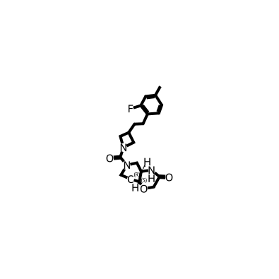 Cc1ccc(CCC2CN(C(=O)N3CC[C@@H]4OCC(=O)N[C@@H]4C3)C2)c(F)c1